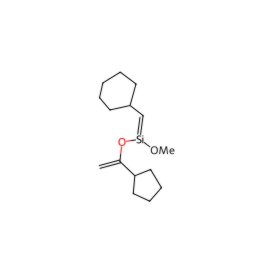 C=C(O[Si](=CC1CCCCC1)OC)C1CCCC1